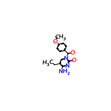 CCc1cn(C(=O)c2ccc(OC)cc2)c(=O)nc1N